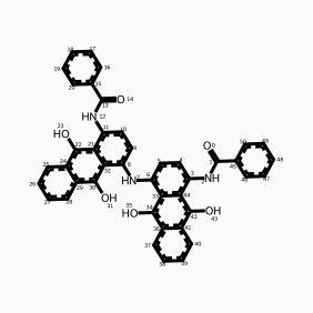 O=C(Nc1ccc(Nc2ccc(NC(=O)c3ccccc3)c3c(O)c4ccccc4c(O)c23)c2c(O)c3ccccc3c(O)c12)c1ccccc1